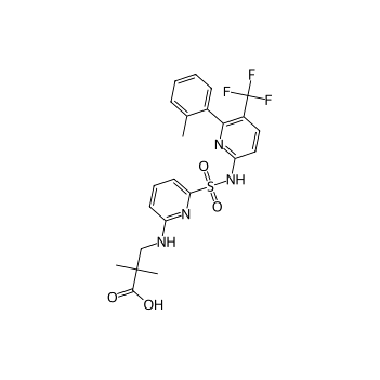 Cc1ccccc1-c1nc(NS(=O)(=O)c2cccc(NCC(C)(C)C(=O)O)n2)ccc1C(F)(F)F